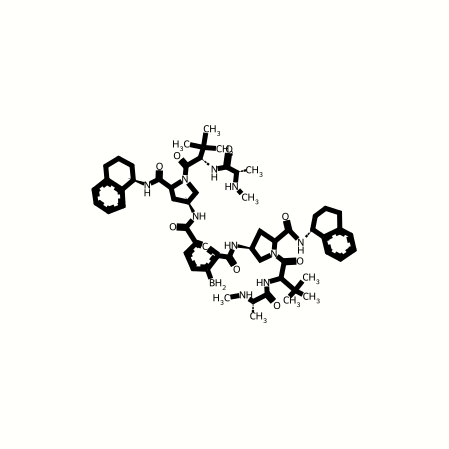 Bc1ccc(C(=O)N[C@H]2CC(C(=O)N[C@@H]3CCCc4ccccc43)N(C(=O)[C@@H](NC(=O)[C@H](C)NC)C(C)(C)C)C2)cc1C(=O)N[C@H]1CC(C(=O)N[C@@H]2CCCc3ccccc32)N(C(=O)C(NC(=O)[C@H](C)NC)C(C)(C)C)C1